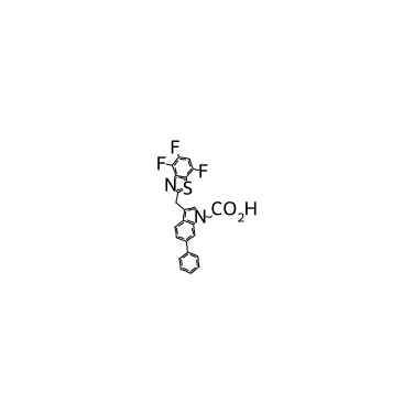 O=C(O)Cn1cc(Cc2nc3c(F)c(F)cc(F)c3s2)c2ccc(-c3ccccc3)cc21